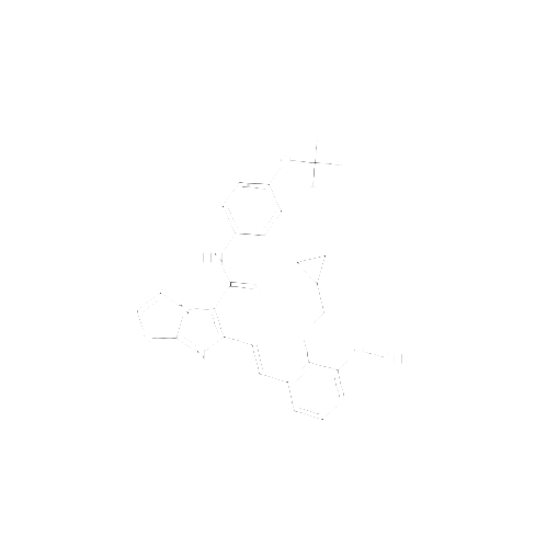 COc1cccc(C=Cc2nc3sccn3c2C(=O)Nc2ccc(OC(F)(F)F)cc2)c1OCC1CC1